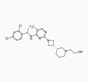 CC(Nc1nc(N2CC([C@H]3CCCN(CCO)C3)C2)ncc1C(F)(F)F)c1ccc(Cl)cc1Cl